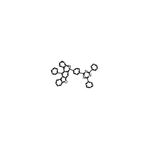 c1ccc(-c2nc(-c3ccccc3)nc(-c3ccc(-c4nc5ccccc5c5c(-c6ccccc6)c6c(cc45)oc4ccccc46)cc3)n2)cc1